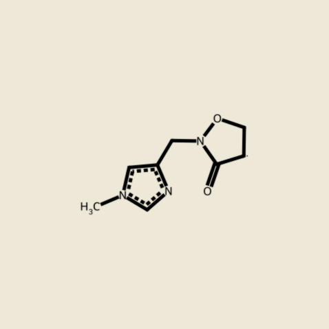 Cn1cnc(CN2OC[CH]C2=O)c1